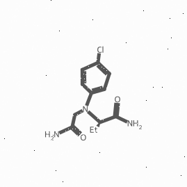 CC[C@H](C(N)=O)N(CC(N)=O)c1ccc(Cl)cc1